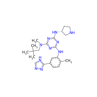 Cc1ccc(-c2nnc[nH]2)cc1Nc1nc(N[C@@H]2CCNC2)nc(N(C)CC(C)(C)C)n1